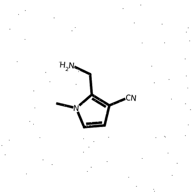 Cn1ccc(C#N)c1CN